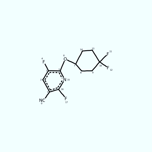 N#Cc1cc(F)c(OC2CCC(F)(F)CC2)nc1F